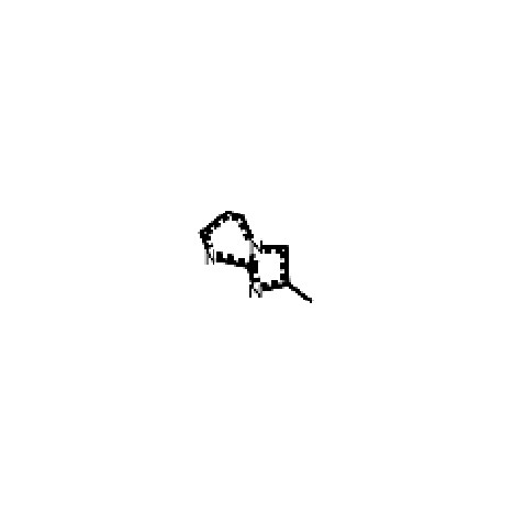 Cc1cn2c[c]cnc2n1